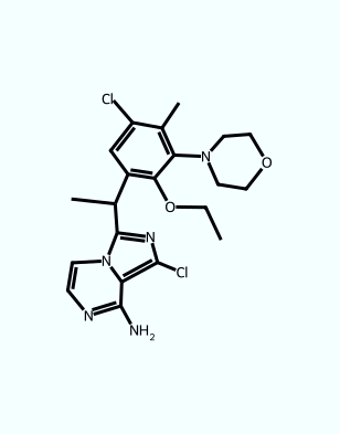 CCOc1c(C(C)c2nc(Cl)c3c(N)nccn23)cc(Cl)c(C)c1N1CCOCC1